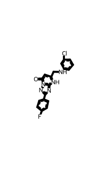 O=c1cc(CNc2cccc(Cl)c2)[nH]c2nc(-c3ccc(F)cc3)nn12